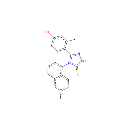 Cc1ccc2c(-n3c(-c4ccc(O)cc4C)n[nH]c3=S)cccc2c1